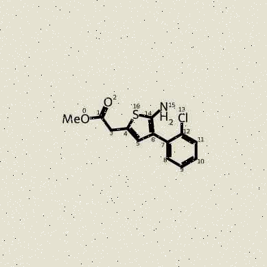 COC(=O)Cc1cc(-c2ccccc2Cl)c(N)s1